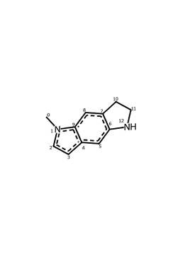 Cn1ccc2cc3c(cc21)CCN3